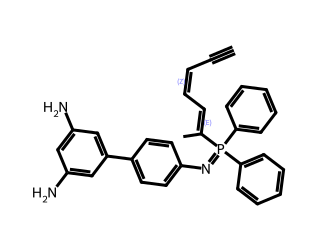 C#C/C=C\C=C(/C)P(=Nc1ccc(-c2cc(N)cc(N)c2)cc1)(c1ccccc1)c1ccccc1